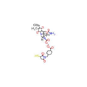 COC1=C(C)C(=O)C2=C(C1=O)[C@@H](COC(N)=O)[C@@]1(OC)[C@@H]3[C@H](CN21)N3C(=O)OCOC(=O)C1CCC(CN2C(=O)CC(S)C2=O)CC1